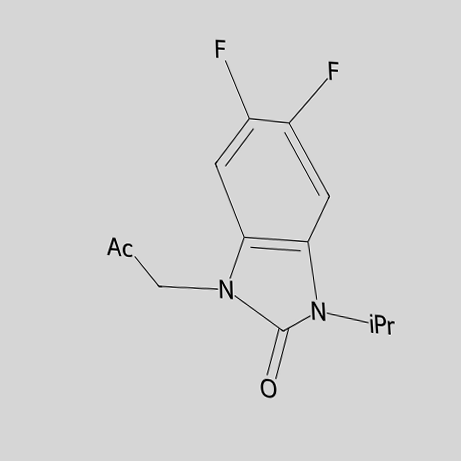 CC(=O)Cn1c(=O)n(C(C)C)c2cc(F)c(F)cc21